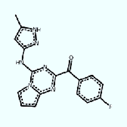 Cc1cc(Nc2nc(C(=O)c3ccc(F)cc3)nc3cccn23)n[nH]1